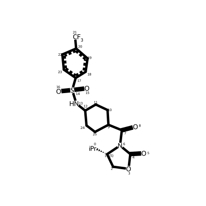 CC(C)[C@H]1COC(=O)N1C(=O)C1CCC(NS(=O)(=O)c2ccc(C(F)(F)F)cc2)CC1